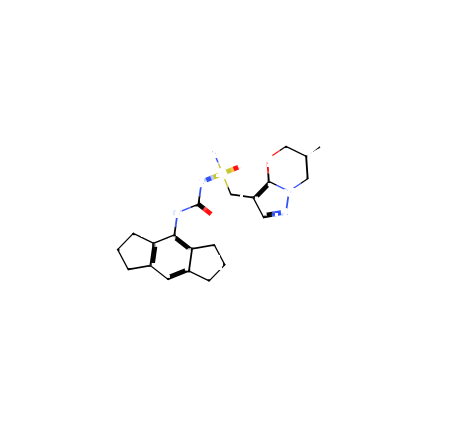 C[C@@H]1COc2c(CS(N)(=O)=NC(=O)Nc3c4c(cc5c3CCC5)CCC4)cnn2C1